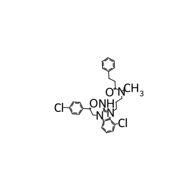 CN(CCCn1c(=N)n(CC(=O)c2ccc(Cl)cc2)c2cccc(Cl)c21)C(=O)CCc1ccccc1